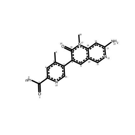 CCCC(=O)c1cc(C)c(-c2cc3cnc(N)cc3n(C)c2=O)cn1